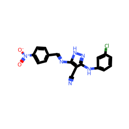 N#Cc1c(Nc2cccc(Cl)c2)n[nH]c1/N=C/c1ccc([N+](=O)[O-])cc1